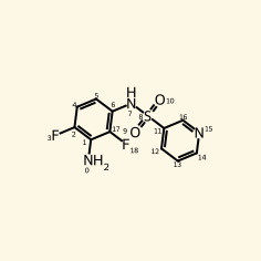 Nc1c(F)ccc(NS(=O)(=O)c2cccnc2)c1F